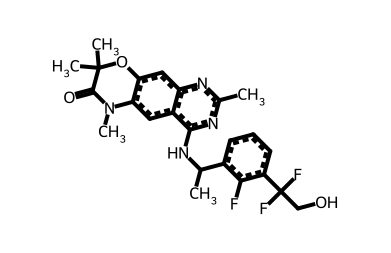 Cc1nc(NC(C)c2cccc(C(F)(F)CO)c2F)c2cc3c(cc2n1)OC(C)(C)C(=O)N3C